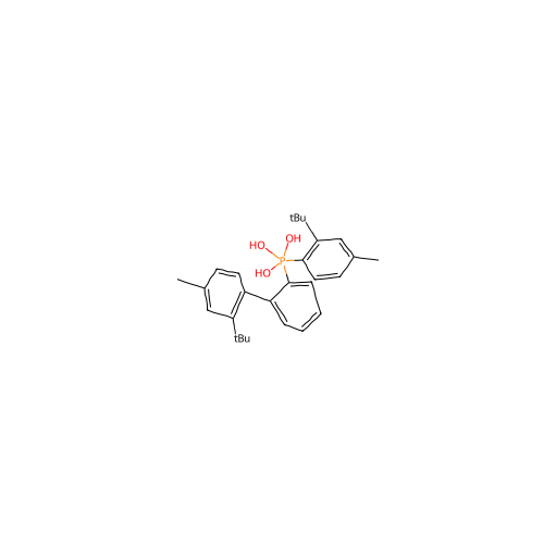 Cc1ccc(-c2ccccc2P(O)(O)(O)c2ccc(C)cc2C(C)(C)C)c(C(C)(C)C)c1